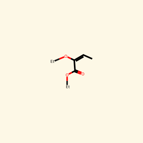 CC=C(OCC)C(=O)OCC